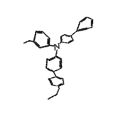 CCc1ccc(-c2ccc(N(c3ccc(-c4ccccc4)cc3)c3cccc(C)c3)cc2)cc1